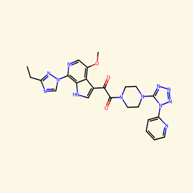 CCc1ncn(-c2ncc(OC)c3c(C(=O)C(=O)N4CCN(c5nnnn5-c5ccccn5)CC4)c[nH]c23)n1